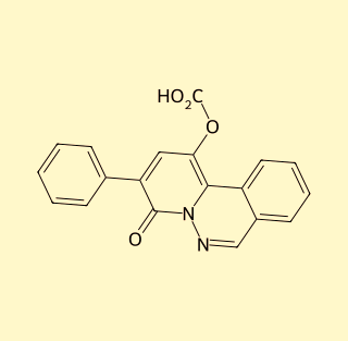 O=C(O)Oc1cc(-c2ccccc2)c(=O)n2ncc3ccccc3c12